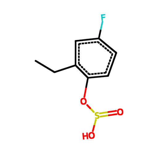 CCc1cc(F)ccc1OS(=O)O